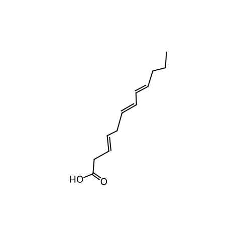 CCCC=CC=CCC=CCC(=O)O